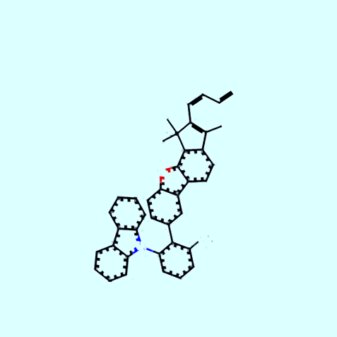 C=C/C=C\C1=C(C)c2ccc3c(oc4ccc(-c5c(C#N)cccc5-n5c6ccccc6c6ccccc65)cc43)c2C1(C)C